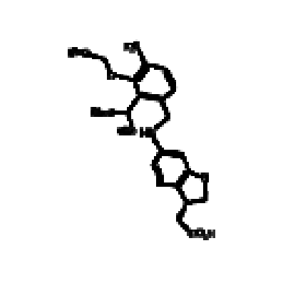 COCOc1c(C(F)(F)F)ccc(CNc2ccc3c(c2)OC[C@H]3CC(=O)O)c1C(OC)OC